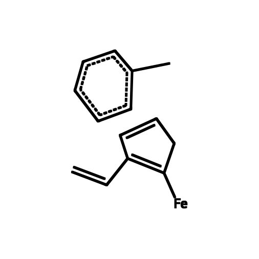 C=CC1=[C]([Fe])CC=C1.Cc1ccccc1